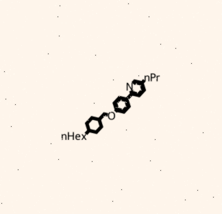 CCCCCCC1CCC(COc2ccc(-c3ccc(CCC)cn3)cc2)CC1